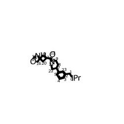 CC(C)Cc1cccc(C2CCN(C(=O)C3CC4(COCN4)C3)CC2)c1